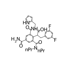 CCCN(CCC)C(=O)c1cc(C(N)=O)cc(C(N)=O)c1C(Cc1cc(F)cc(F)c1)C(O)CCc1ccc[nH]1